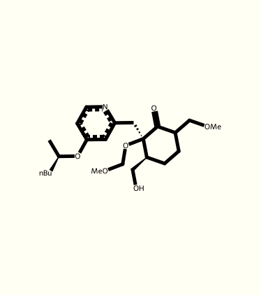 CCCC[C@@H](C)Oc1ccnc(C[C@]2(OCOC)C(=O)C(COC)CC[C@H]2CO)c1